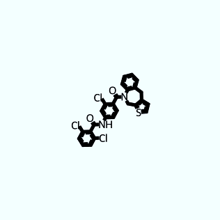 O=C(Nc1ccc(C(=O)N2Cc3sccc3Cc3ccccc32)c(Cl)c1)c1c(Cl)cccc1Cl